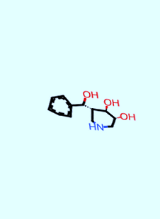 OC(c1ccccc1)[C@H]1CNC[C@@H](O)[C@@H]1O